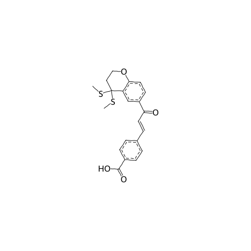 CSC1(SC)CCOc2ccc(C(=O)C=Cc3ccc(C(=O)O)cc3)cc21